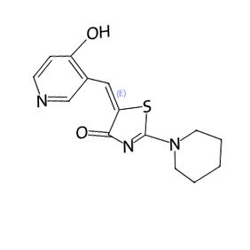 O=C1N=C(N2CCCCC2)S/C1=C/c1cnccc1O